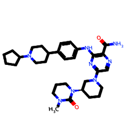 CN1CCCN([C@@H]2CCCN(c3cnc(C(N)=O)c(Nc4ccc(C5CCN(C6CCCC6)CC5)cc4)n3)C2)C1=O